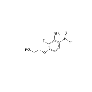 Nc1c([N+](=O)[O-])ccc(OCCO)c1F